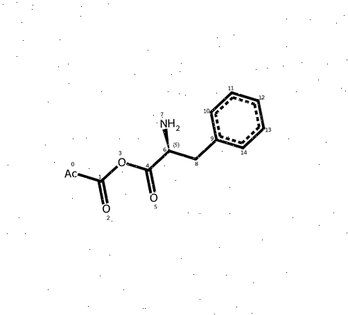 CC(=O)C(=O)OC(=O)[C@@H](N)Cc1ccccc1